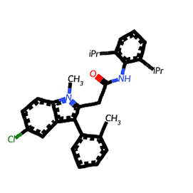 Cc1ccccc1-c1c(CC(=O)Nc2c(C(C)C)cccc2C(C)C)n(C)c2ccc(Cl)cc12